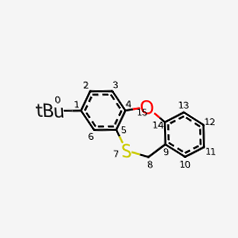 CC(C)(C)c1ccc2c(c1)SCc1ccccc1O2